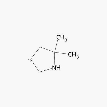 CC1(C)C[CH]CN1